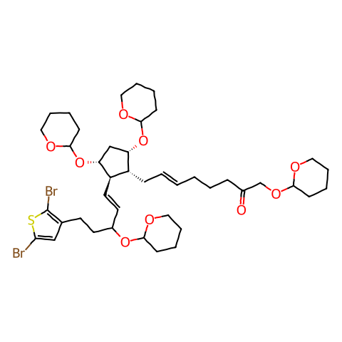 O=C(CCCC=CC[C@@H]1[C@@H](C=CC(CCc2cc(Br)sc2Br)OC2CCCCO2)[C@H](OC2CCCCO2)C[C@@H]1OC1CCCCO1)COC1CCCCO1